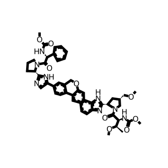 COC[C@H]1C[C@@H](c2nc3ccc4cc5c(cc4c3[nH]2)OCc2cc(-c3cnc([C@@H]4CCCN4C(=O)[C@H](NC(=O)OC)c4ccccc4)[nH]3)ccc2-5)N(C(=O)[C@@H](NC(=O)OC)[C@@H](C)OC)C1